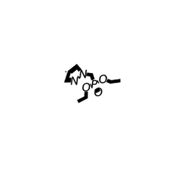 CCOP(=O)(Cn1c[c]cn1)OCC